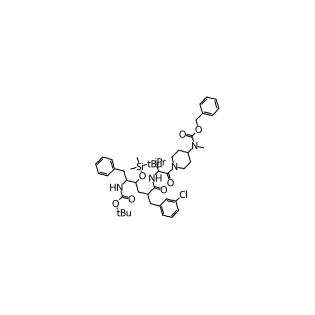 CC(C)[C@H](NC(=O)C(Cc1cccc(Cl)c1)CC(O[Si](C)(C)C(C)(C)C)C(Cc1ccccc1)NC(=O)OC(C)(C)C)C(=O)N1CCC(N(C)C(=O)OCc2ccccc2)CC1